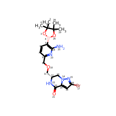 CC1(C)OB(c2ccc(COC[C@@H]3Cn4nc(Br)cc4C(=O)N3)nc2N)OC1(C)C